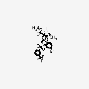 COC(=O)C(C)(C[C@H]1CN(S(=O)(=O)c2cccc(C(F)(F)F)c2)c2cc(Br)ccc2O1)C(=O)OC